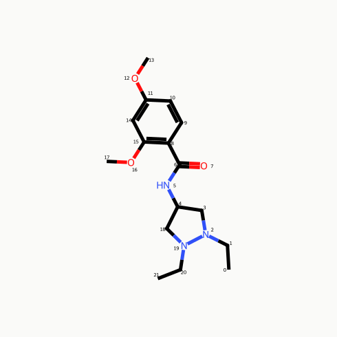 CCN1CC(NC(=O)c2ccc(OC)cc2OC)CN1CC